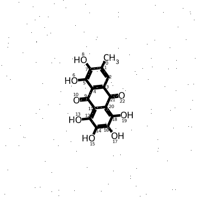 Cc1cc2c(c(O)c1O)C(=O)c1c(O)c(O)c(O)c(O)c1C2=O